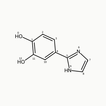 Oc1ccc(-c2n[c]c[nH]2)cc1O